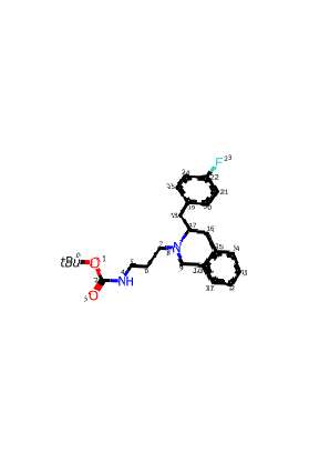 CC(C)(C)OC(=O)NCCCN1Cc2ccccc2CC1Cc1ccc(F)cc1